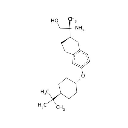 CC(C)(C)[C@H]1CC[C@H](Oc2ccc3c(c2)CC[C@@H]([C@@](C)(N)CO)C3)CC1